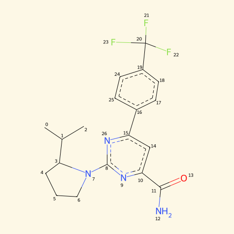 CC(C)C1CCCN1c1nc(C(N)=O)cc(-c2ccc(C(F)(F)F)cc2)n1